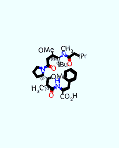 CC[C@H](C)[C@@H]([C@@H](CC(=O)N1CCC[C@H]1C(OC)[C@@H](C)C(=O)N[C@@H](Cc1ccccc1)C(=O)O)OC)N(C)C(=O)CC(C)C